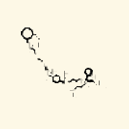 CCCCc1nc2c(N)nc3ccccc3c2n1CCCCNC(=O)C1CCC(C(=O)NCCOCCOCCC(=O)NCC2CCCCCCC(CN)C2)CC1